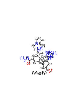 C=C(CN[C@H](C)CC(c1ccc(C(N)=O)cc1)(c1ccc(C(=O)NC)cc1)c1nn[nH]n1)N1CCCC1C#N